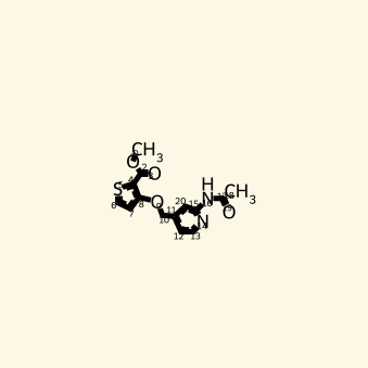 COC(=O)c1sccc1OCc1ccnc(NC(C)=O)c1